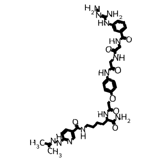 CC(C)=NNc1ccc(C(=O)NCCCCC(NC(=O)COc2ccc(NC(=O)CNC(=O)CNC(=O)c3cccc(N/C(N)=N/N)c3)cc2)C(N)=O)cn1